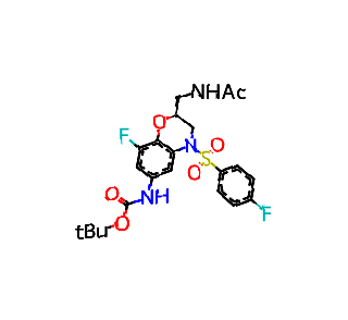 CC(=O)NC[C@H]1CN(S(=O)(=O)c2ccc(F)cc2)c2cc(NC(=O)OC(C)(C)C)cc(F)c2O1